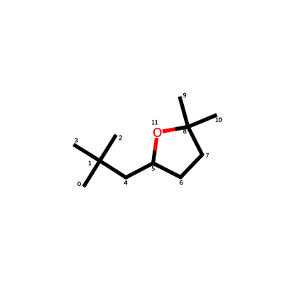 CC(C)(C)CC1CCC(C)(C)O1